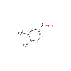 OCC1=CCC(C(F)(F)F)C(C(F)(F)F)=C1